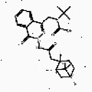 CC1(C)[C@H]2CC[C@@H](CC(=O)Nn3nc(CN(C(=O)O)C(C)(C)C)c4ccccc4c3=O)[C@@H]1C2